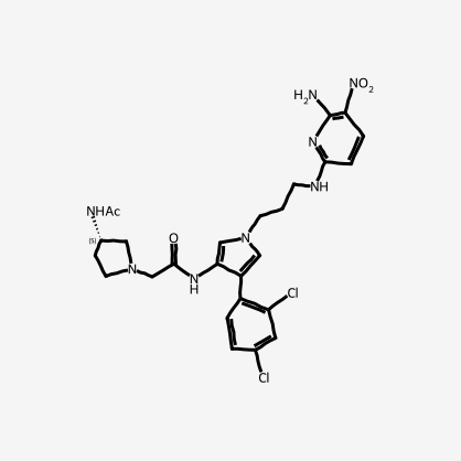 CC(=O)N[C@H]1CCN(CC(=O)Nc2cn(CCCNc3ccc([N+](=O)[O-])c(N)n3)cc2-c2ccc(Cl)cc2Cl)C1